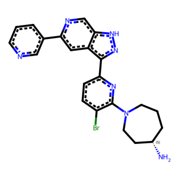 N[C@H]1CCCN(c2nc(-c3n[nH]c4cnc(-c5cccnc5)cc34)ccc2Br)CC1